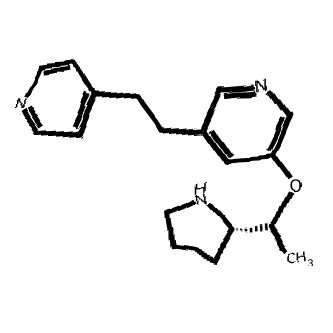 CC(Oc1cncc(CCc2ccncc2)c1)[C@@H]1CCCN1